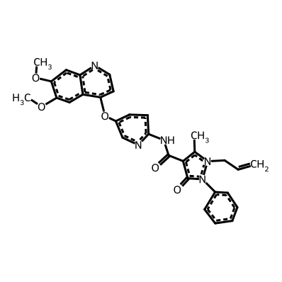 C=CCn1c(C)c(C(=O)Nc2ccc(Oc3ccnc4cc(OC)c(OC)cc34)cn2)c(=O)n1-c1ccccc1